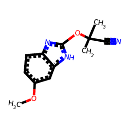 COc1ccc2nc(OC(C)(C)C#N)[nH]c2c1